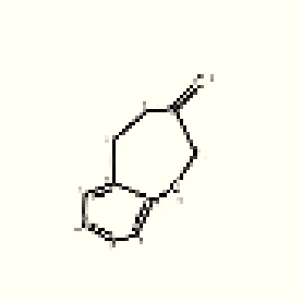 O=C1C[C]c2ccccc2OC1